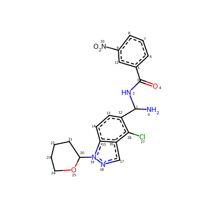 NC(NC(=O)c1cccc([N+](=O)[O-])c1)c1ccc2c(cnn2C2CCCCO2)c1Cl